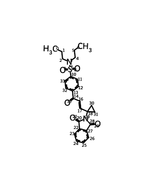 CCCN(CCC)S(=O)(=O)c1ccc(C(=O)/C=C/C2(N3C(=O)c4ccccc4C3=O)CC2)cc1